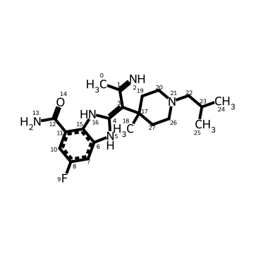 CC(=N)/C(=C1/Nc2cc(F)cc(C(N)=O)c2N1)C1(C)CCN(CC(C)C)CC1